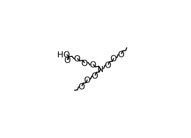 CCCOCCOCCOCCN(CCOCCOCCOCCC)CCOCCOCCOCCC(=O)O